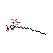 CCCCCCCCCCCCCCCCOc1c[c]c([N+](=O)[O-])cc1C(=O)N(CC)CC